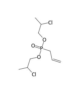 C=CCP(=O)(OCC(C)Cl)OCC(C)Cl